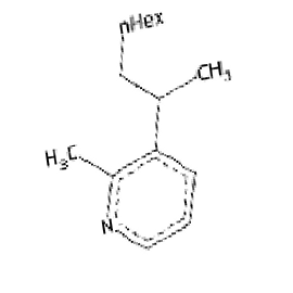 CCCCCCCC(C)c1cccnc1C